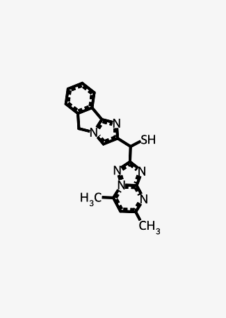 Cc1cc(C)n2nc(C(S)c3cn4c(n3)-c3ccccc3C4)nc2n1